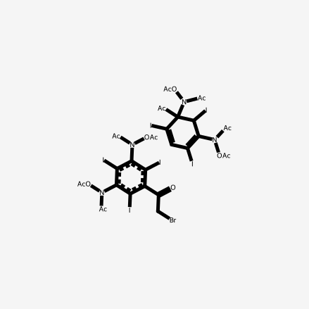 CC(=O)ON(C(C)=O)C1=C(I)C=C(I)C(C(C)=O)(N(OC(C)=O)C(C)=O)C1I.CC(=O)ON(C(C)=O)c1c(I)c(C(=O)CBr)c(I)c(N(OC(C)=O)C(C)=O)c1I